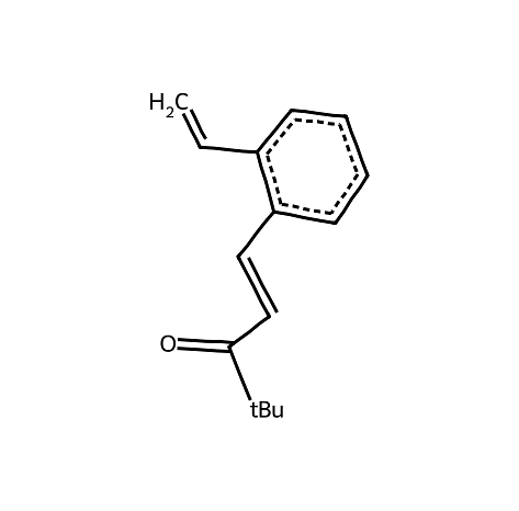 C=Cc1ccccc1C=CC(=O)C(C)(C)C